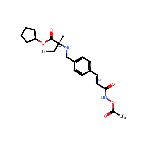 CC(C)C[C@@](C)(NCc1ccc(/C=C/C(=O)NOC(=O)C(F)(F)F)cc1)C(=O)OC1CCCC1